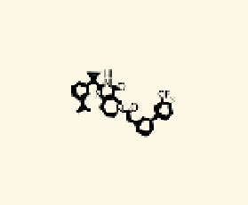 C=C(C)c1cccc(C2(c3nc4c(c(=O)[nH]3)CN(C(=O)Cc3cccc(-c5cccc(C(F)(F)F)c5)c3)CCC4)CC2)c1